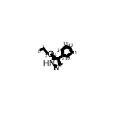 CCCOc1[nH]n[c]c1-c1ccccc1